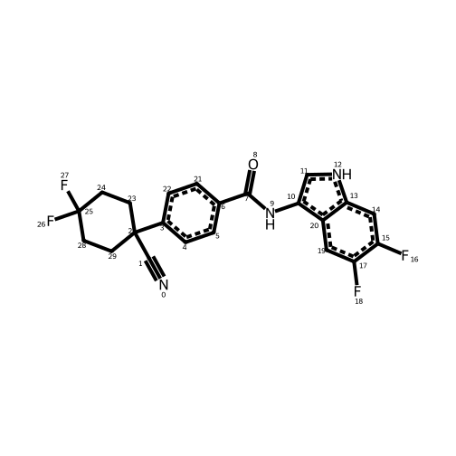 N#CC1(c2ccc(C(=O)Nc3c[nH]c4cc(F)c(F)cc34)cc2)CCC(F)(F)CC1